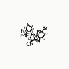 FC(F)(F)c1ccccc1C1CC(Cl)c2nc3ccc(Br)nc3n21